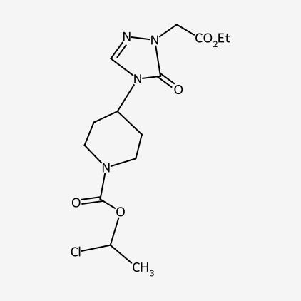 CCOC(=O)Cn1ncn(C2CCN(C(=O)OC(C)Cl)CC2)c1=O